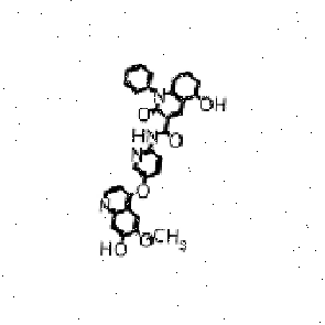 COc1cc2c(Oc3ccc(NC(=O)c4cc5c(n(-c6ccccc6)c4=O)CCCC5O)nc3)ccnc2cc1O